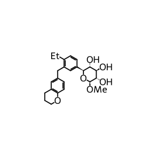 CCc1ccc([C@@H]2O[C@H](OC)[C@@H](O)[C@H](O)[C@H]2O)cc1Cc1ccc2c(c1)CCCO2